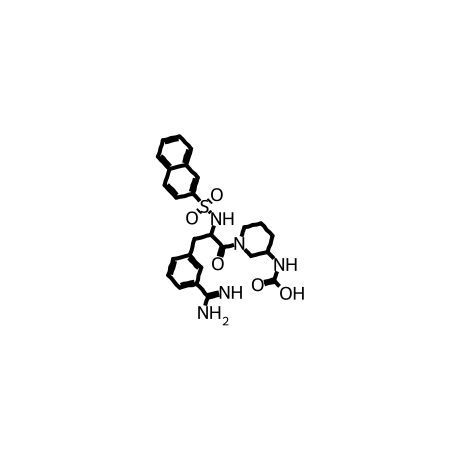 N=C(N)c1cccc(CC(NS(=O)(=O)c2ccc3ccccc3c2)C(=O)N2CCCC(NC(=O)O)C2)c1